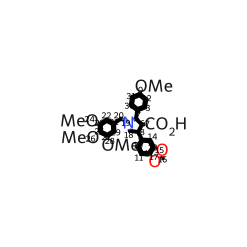 COc1ccc(C2C(C(=O)O)C(c3ccc4c(c3)OCO4)CN2Cc2cc(OC)c(OC)c(OC)c2)cc1